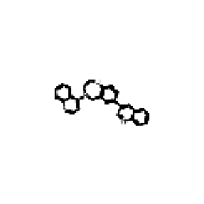 c1ccc2ncc(-c3ccc4c(c3)CN(c3ccnc5ccccc35)CCO4)cc2c1